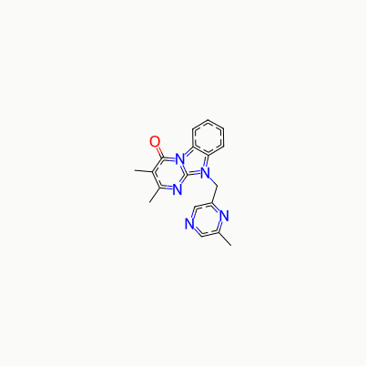 Cc1cncc(Cn2c3ccccc3n3c(=O)c(C)c(C)nc23)n1